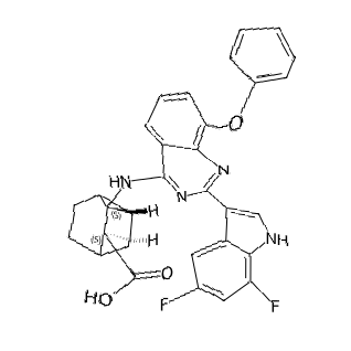 O=C(O)[C@H]1C2CCC(CC2)[C@@H]1Nc1nc(-c2c[nH]c3c(F)cc(F)cc23)nc2c(Oc3ccccc3)cccc12